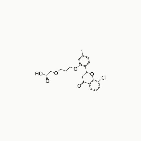 Cc1ccc(C2CC(=O)c3cccc(Cl)c3O2)c(OCCCOCC(=O)O)c1